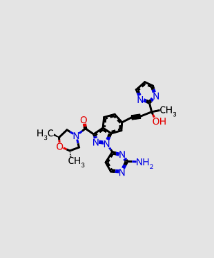 C[C@H]1CN(C(=O)c2nn(-c3ccnc(N)n3)c3cc(C#CC(C)(O)c4ncccn4)ccc23)C[C@H](C)O1